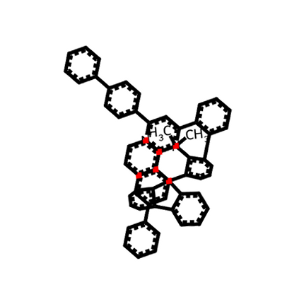 CC1(C)c2ccccc2C2(c3ccccc3-c3ccccc32)c2cccc(-c3ccccc3-c3cc(-c4ccc(-c5ccccc5)cc4)nc(-c4ccc(-c5ccccc5)cc4)n3)c21